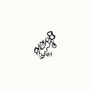 C=CC(=O)NCCCC[C@@H](C(=O)N1CCN(c2cccc(C)n2)CC1)N(C=O)c1ccc2ccccc2c1